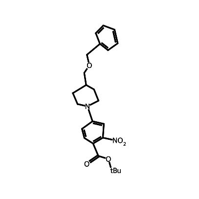 CC(C)(C)OC(=O)c1ccc(N2CCC(COCc3ccccc3)CC2)cc1[N+](=O)[O-]